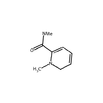 CNC(=O)C1=CC=CCN1C